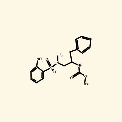 CN(CC(Cc1ccccc1)NC(=O)OC(C)(C)C)S(=O)(=O)c1ccccc1[N+](=O)[O-]